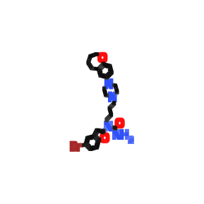 NC(=O)N(CCCCN1CCN(c2ccc3c(c2)CCCCO3)CC1)c1cc2cc(Br)ccc2o1